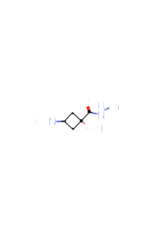 CC(C)NC(=O)C1(O)CC(N)C1